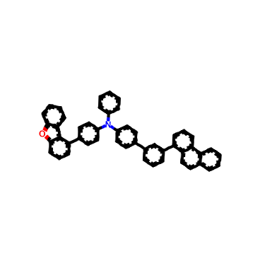 c1ccc(N(c2ccc(-c3cccc(-c4cccc5c4ccc4ccccc45)c3)cc2)c2ccc(-c3cccc4oc5ccccc5c34)cc2)cc1